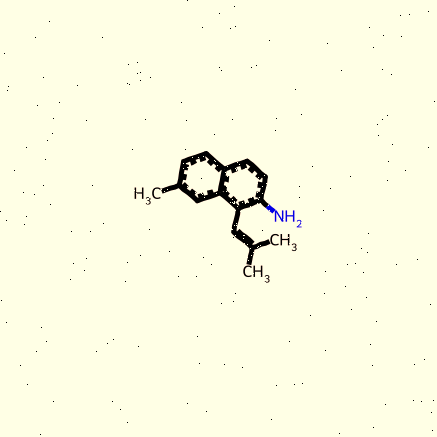 CC(C)=Cc1c(N)ccc2ccc(C)cc12